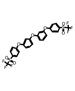 O=S(=O)(c1ccc(Oc2cccc(Oc3cccc(Oc4ccc(S(=O)(=O)C(F)(F)F)cc4)c3)c2)cc1)C(F)(F)F